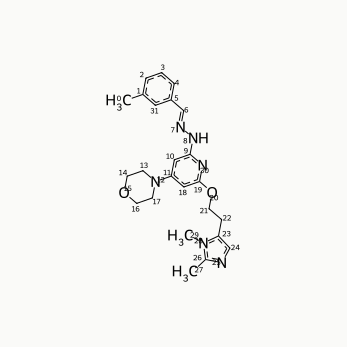 Cc1cccc(C=NNc2cc(N3CCOCC3)cc(OCCc3cnc(C)n3C)n2)c1